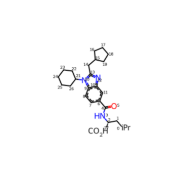 CC(C)C[C@H](NC(=O)c1ccc2c(c1)nc(CC1CCCC1)n2C1CCCCC1)C(=O)O